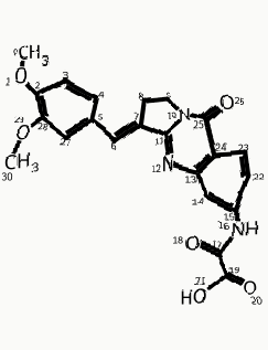 COc1ccc(/C=C2\CCn3c2nc2cc(NC(=O)C(=O)O)ccc2c3=O)cc1OC